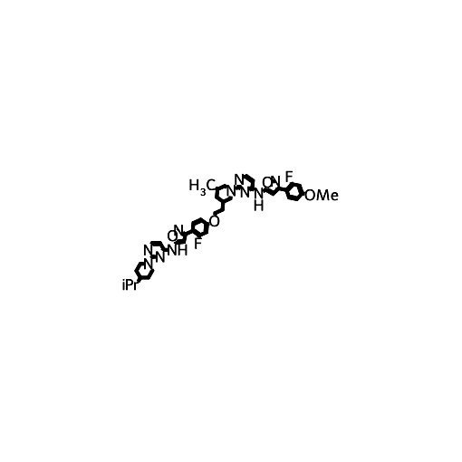 COc1ccc(-c2cc(Nc3ccnc(N4CC(C)CC(CCOc5ccc(-c6cc(Nc7ccnc(N8CCC(C(C)C)CC8)n7)on6)c(F)c5)C4)n3)on2)c(F)c1